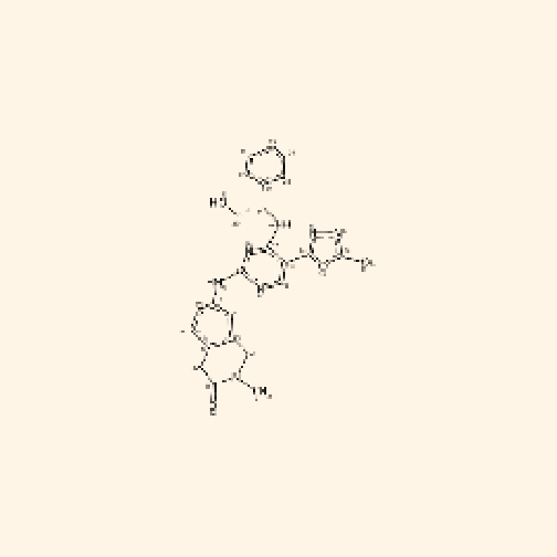 CN1Cc2cc(Nc3ncc(-c4nnc(C(C)(C)C)o4)c(N[C@H](CO)c4ccccc4)n3)ccc2CC1=O